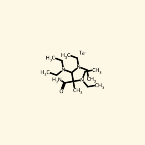 CCN(CC)C(N(CC)CC)C(C)(C(N)=O)N(CC)CC.[Ta]